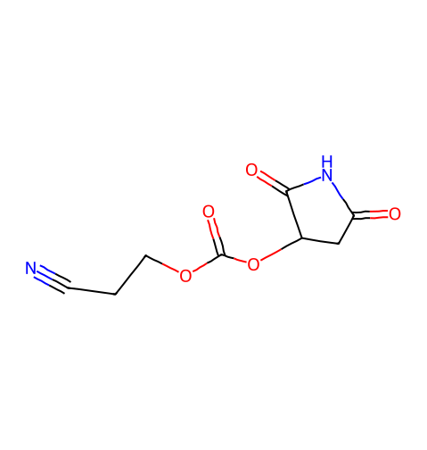 N#CCCOC(=O)OC1CC(=O)NC1=O